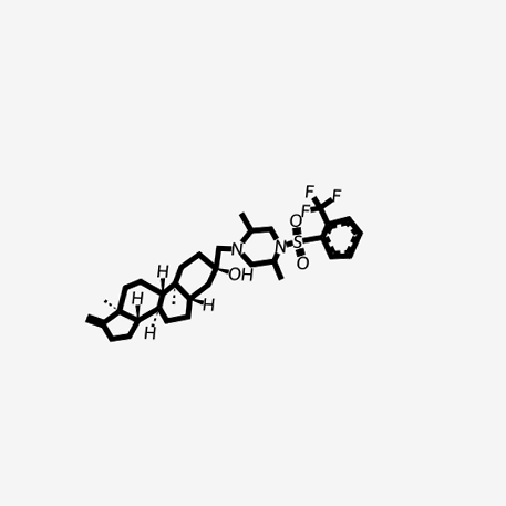 C=C1CC[C@H]2[C@@H]3CC[C@H]4C[C@@](O)(CN5CC(C)N(S(=O)(=O)c6ccccc6C(F)(F)F)CC5C)CC[C@]4(C)[C@H]3CC[C@]12C